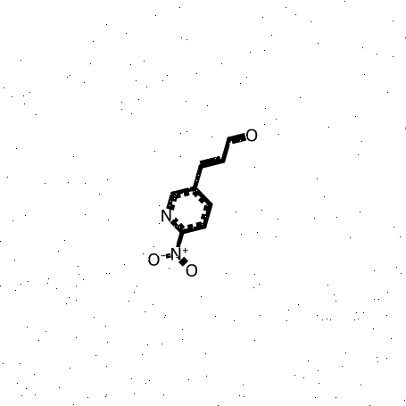 O=C/C=C/c1ccc([N+](=O)[O-])nc1